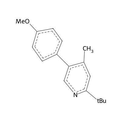 COc1ccc(-c2cnc(C(C)(C)C)cc2C)cc1